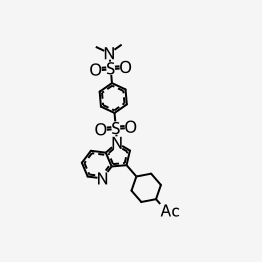 CC(=O)C1CCC(c2cn(S(=O)(=O)c3ccc(S(=O)(=O)N(C)C)cc3)c3cccnc23)CC1